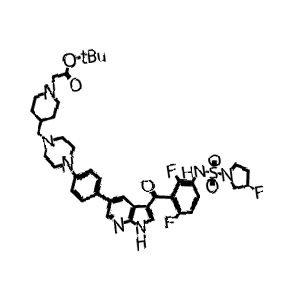 CC(C)(C)OC(=O)CN1CCC(CN2CCN(c3ccc(-c4cnc5[nH]cc(C(=O)c6c(F)ccc(NS(=O)(=O)N7CC[C@@H](F)C7)c6F)c5c4)cc3)CC2)CC1